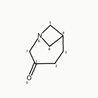 O=C1CCC2CN(C1)C2